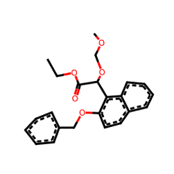 CCOC(=O)C(OCOC)c1c(OCc2ccccc2)ccc2ccccc12